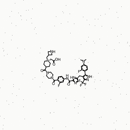 CN(C)c1ccc(-c2[nH]nc(C(F)(F)F)c2Cc2cnc(C(=O)Nc3ccc(C(=O)N4CCN(C(=O)C5CC[N+](CC(=O)O)(CC6CNC6)CC5)CC4)c(F)c3)[nH]2)c(F)c1